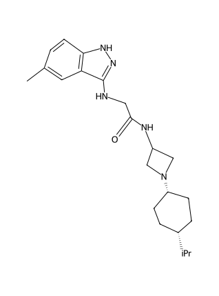 Cc1ccc2[nH]nc(NCC(=O)NC3CN([C@H]4CC[C@@H](C(C)C)CC4)C3)c2c1